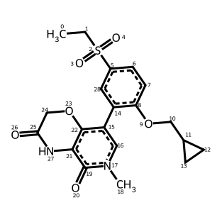 CCS(=O)(=O)c1ccc(OCC2CC2)c(-c2cn(C)c(=O)c3c2OCC(=O)N3)c1